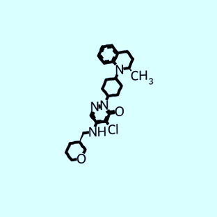 C[C@H]1CCc2ccccc2N1C1CCC(n2ncc(NC[C@@H]3CCCOC3)c(Cl)c2=O)CC1